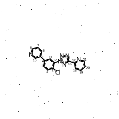 Clc1ccc(-c2cccnc2)cc1-n1nnc(-c2ccccn2)n1